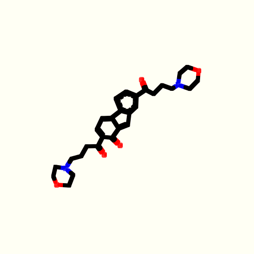 O=C(CCCN1CCOCC1)C1=CC=C2C(=Cc3cc(C(=O)CCCN4CCOCC4)ccc32)C1=O